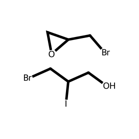 BrCC1CO1.OCC(I)CBr